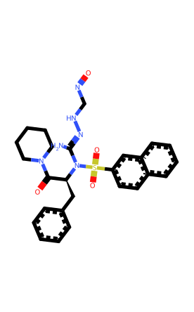 NC(=NNCN=O)N([C@@H](Cc1ccccc1)C(=O)N1CCCCC1)S(=O)(=O)c1ccc2ccccc2c1